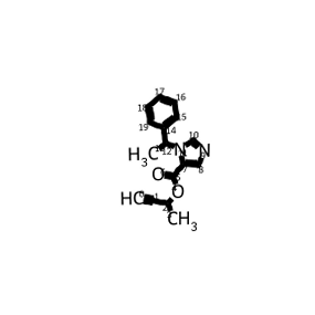 C#CC(C)OC(=O)c1cncn1C(C)c1ccccc1